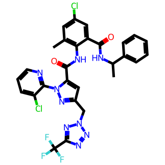 Cc1cc(Cl)cc(C(=O)NC(C)c2ccccc2)c1NC(=O)c1cc(Cn2nnc(C(F)(F)F)n2)nn1-c1ncccc1Cl